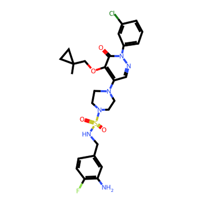 CC1(COc2c(N3CCN(S(=O)(=O)NCc4ccc(F)c(N)c4)CC3)cnn(-c3cccc(Cl)c3)c2=O)CC1